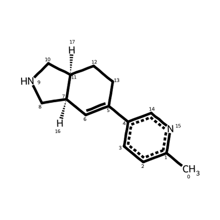 Cc1ccc(C2=C[C@H]3CNC[C@H]3CC2)cn1